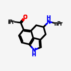 CCCNC1Cc2c[nH]c3ccc(C(=O)C(C)C)c(c23)C1